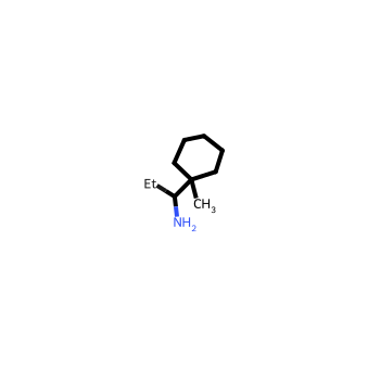 CCC(N)C1(C)CCCCC1